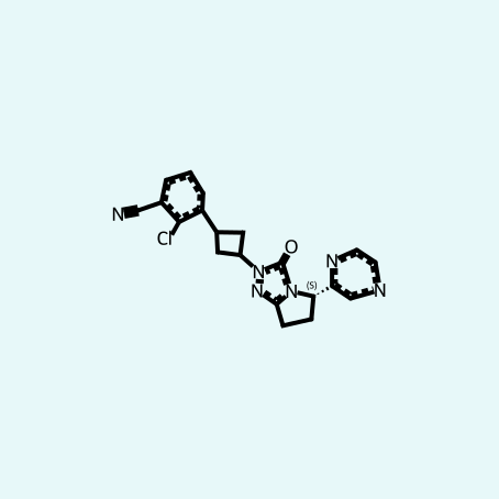 N#Cc1cccc(C2CC(n3nc4n(c3=O)[C@H](c3cnccn3)CC4)C2)c1Cl